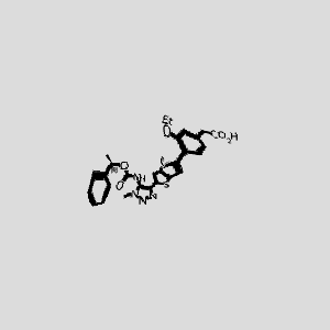 CCOc1cc(CC(=O)O)ccc1-c1cc2sc(-c3nnn(C)c3NC(=O)O[C@H](C)c3ccccc3)cc2s1